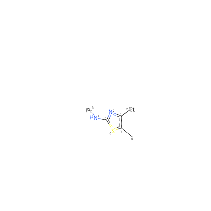 CCc1nc(NC(C)C)sc1C